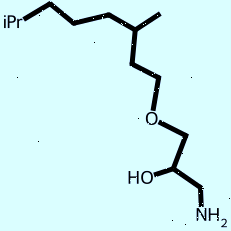 CC(C)CCCC(C)CCOCC(O)CN